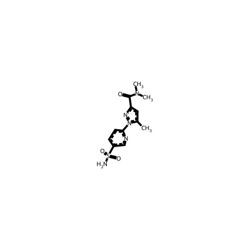 Cc1cc(C(=O)N(C)C)nn1-c1ccc(S(N)(=O)=O)cn1